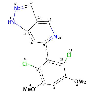 COc1cc(OC)c(Cl)c(-c2cc3[nH]ncc3cn2)c1Cl